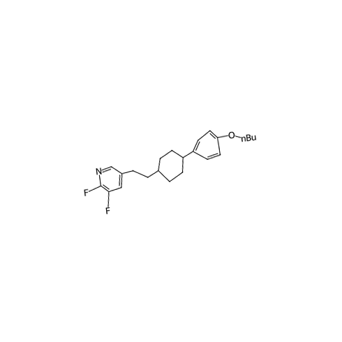 CCCCOc1ccc(C2CCC(CCc3cnc(F)c(F)c3)CC2)cc1